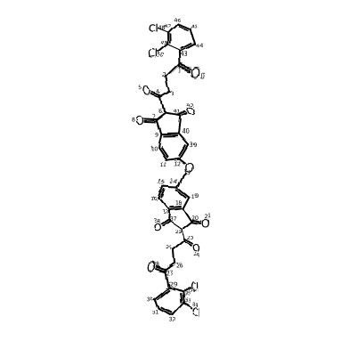 O=C(CCC(=O)C1C(=O)c2ccc(Oc3ccc4c(c3)C(=O)C(C(=O)CCC(=O)c3cccc(Cl)c3Cl)C4=O)cc2C1=O)c1cccc(Cl)c1Cl